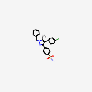 NS(=O)(=O)c1ccc(-c2nn(Cc3ccccc3)c(C(F)(F)F)c2-c2ccc(F)cc2)cc1